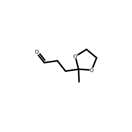 CC1(CCC=O)OCCO1